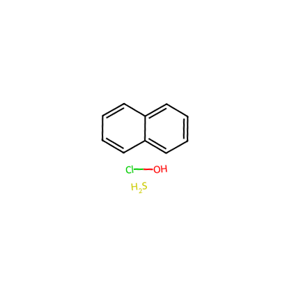 OCl.S.c1ccc2ccccc2c1